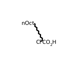 CCCCCCCCCCCCCCCCCC(Cl)C(=O)O